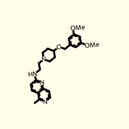 COc1cc(COC2CCN(CCNc3ccc4c(C)nccc4n3)CC2)cc(OC)c1